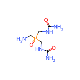 NCP(=O)(CNC(N)=O)CNC(N)=O